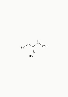 Br.CCCCCC(Br)NC(=O)O